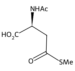 CSC(=O)C[C@H](NC(C)=O)C(=O)O